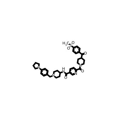 CS(=O)(=O)c1ccc(C(=O)C2CCN(C(=O)c3ccc(C(=O)NC4CCN(Cc5ccc(N6CCCC6)cc5)CC4)cn3)CC2)cc1